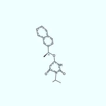 CC(C)n1c(=O)cc(O[C@@H](C)c2ccc3ccccc3c2)[nH]c1=O